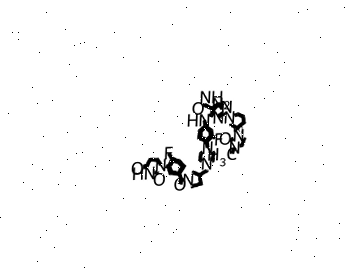 CN1CCN([C@@H]2CCCN(c3nnc(C(N)=O)c(Nc4ccc(N5CCN(CC6CCN(C(=O)c7ccc(F)c(N8CCC(=O)NC8=O)c7)C6)CC5)c(F)c4)n3)C2)C1=O